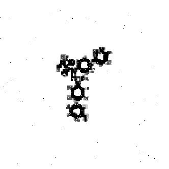 CCN(C)S(=O)(=O)N[C@H]1CCN(c2cccnn2)C[C@H]1CO[C@H]1CC[C@@H](c2cccc(F)c2)CC1